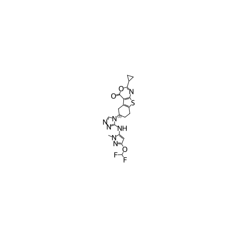 Cn1nc(OC(F)F)cc1Nc1nncn1[C@H]1CCc2sc3nc(C4CC4)oc(=O)c3c2C1